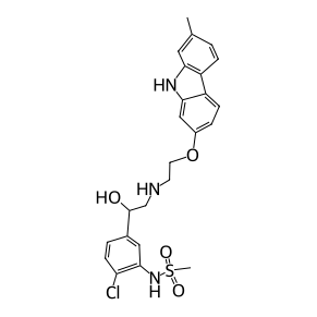 Cc1ccc2c(c1)[nH]c1cc(OCCNCC(O)c3ccc(Cl)c(NS(C)(=O)=O)c3)ccc12